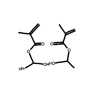 C=C(C)C(=O)OC(C)O.C=C(C)C(=O)OC(O)CCC